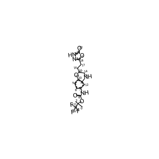 CC(C)(OC(=O)Nc1ccc2c(c1)NC[C@H](CCc1n[nH]c(=O)o1)O2)C(F)(F)F